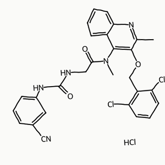 Cc1nc2ccccc2c(N(C)C(=O)CNC(=O)Nc2cccc(C#N)c2)c1OCc1c(Cl)cccc1Cl.Cl